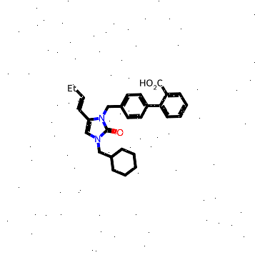 CCC=Cc1cn(CC2CCCCC2)c(=O)n1Cc1ccc(-c2ccccc2C(=O)O)cc1